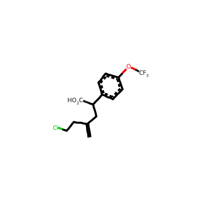 C=C(CCCl)CC(C(=O)O)c1ccc(OC(F)(F)F)cc1